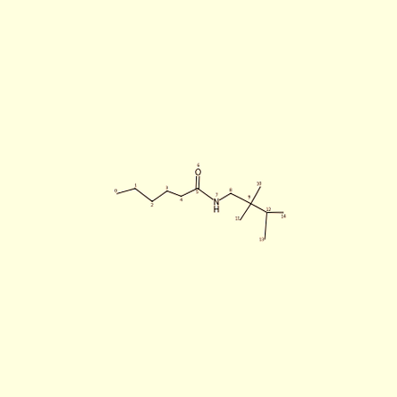 CCCCCC(=O)NCC(C)(C)C(C)C